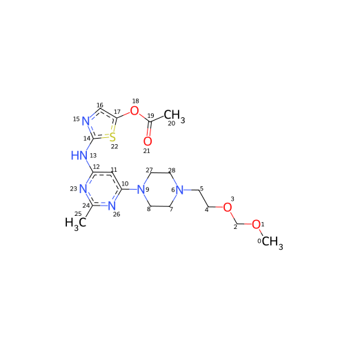 COCOCCN1CCN(c2cc(Nc3ncc(OC(C)=O)s3)nc(C)n2)CC1